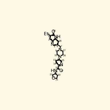 CCc1cc2ncc(CN3CCN(c4ccc(C(=O)NC5CCOC5)nc4)CC3)cc2[nH]c1=O